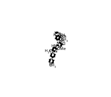 COc1nc(N2CCC(N3CCN(C)CC3)CC2)c(C)cc1Nc1ncc(Cl)c(Nc2ccc3nccnc3c2P(C)(C)=O)n1